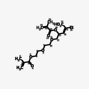 C=C(C)C(=O)OCCOCCOCC(C=C(CC)C(=O)O)OC(=O)C(=C)C